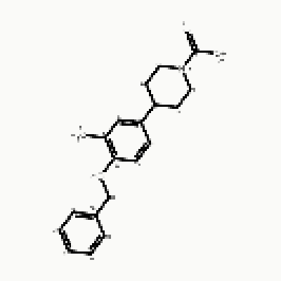 Cc1cc(C2CCN(C(=O)O)CC2)ccc1OCc1ccccc1